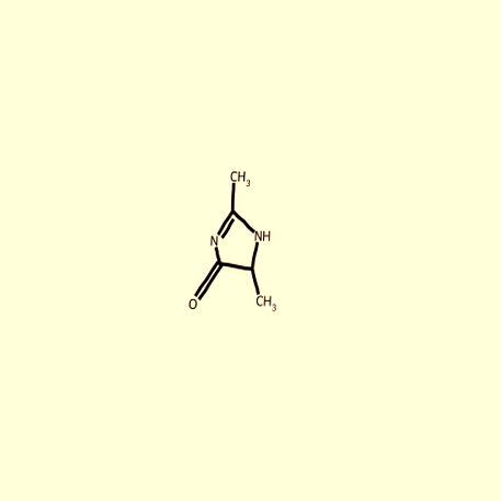 CC1=NC(=O)C(C)N1